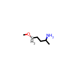 CO[SiH2]CCC(C)N